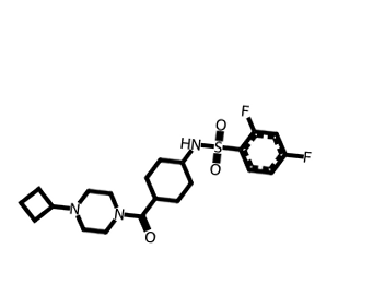 O=C(C1CCC(NS(=O)(=O)c2ccc(F)cc2F)CC1)N1CCN(C2CCC2)CC1